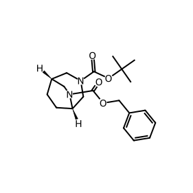 CC(C)(C)OC(=O)N1C[C@H]2CC[C@@H](C1)N(C(=O)OCc1ccccc1)C2